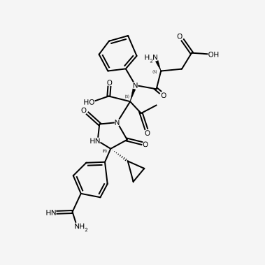 CC(=O)[C@@](C(=O)O)(N1C(=O)N[C@@](c2ccc(C(=N)N)cc2)(C2CC2)C1=O)N(C(=O)[C@@H](N)CC(=O)O)c1ccccc1